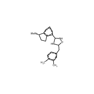 CN[C@@H]1CCc2c(C3NOC(Cc4ccc(C)c(C)c4)N3)cccc21